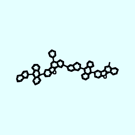 Cc1cc2c3cc(-c4c5ccccc5c(-c5ccc6cc(-c7ccc8c(-c9ccccc9)cc9c%10cc(-c%11c%12ccccc%12c(-c%12ccc%13ccccc%13c%12)c%12ccccc%11%12)ccc%10oc9c8c7)ccc6c5)c5ccccc45)ccc3oc2c2ccccc12